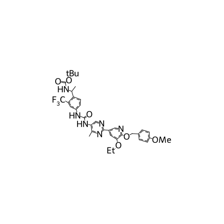 CCOc1cc(-c2ncc(NC(=O)Nc3ccc(C(C)NC(=O)OC(C)(C)C)c(C(F)(F)F)c3)c(C)n2)cnc1OCc1ccc(OC)cc1